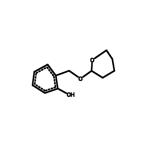 Oc1ccccc1COC1CCCCO1